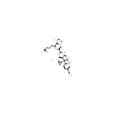 N#Cc1ccc(C2(C3CC3)C(=O)Nc3nc(-c4cn5ncnc5c(CCCC(F)(F)F)n4)nc(N)c32)nc1